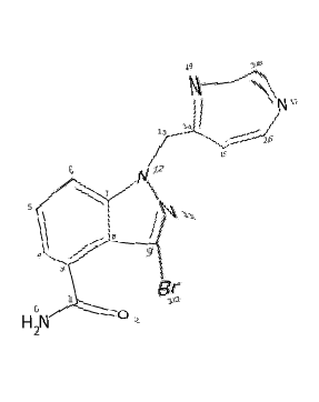 NC(=O)c1cccc2c1c(Br)nn2Cc1ccncn1